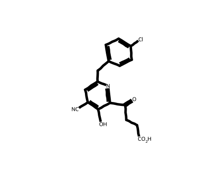 N#Cc1cc(Cc2ccc(Cl)cc2)nc(C(=O)CCC(=O)O)c1O